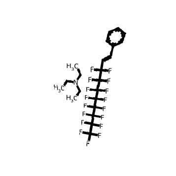 CCN(CC)CC.FC(F)(F)C(F)(F)C(F)(F)C(F)(F)C(F)(F)C(F)(F)C(F)(F)C(F)(F)C=Cc1ccccc1